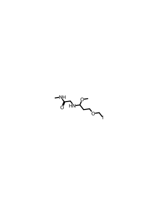 CNC(=O)CNC(CCOCI)OC